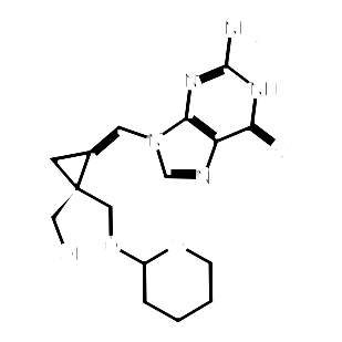 Nc1nc2c(ncn2/C=C2/C[C@@]2(CO)COC2CCCCO2)c(=O)[nH]1